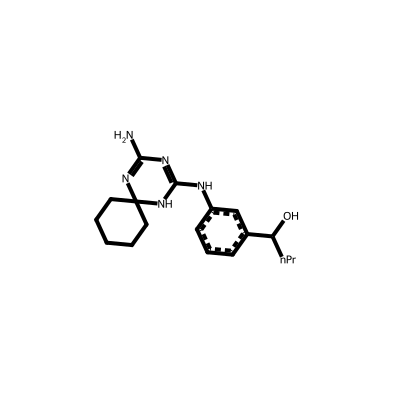 CCCC(O)c1cccc(NC2=NC(N)=NC3(CCCCC3)N2)c1